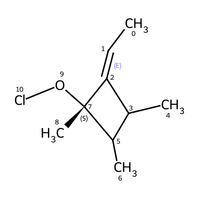 C/C=C1\C(C)C(C)[C@]1(C)OCl